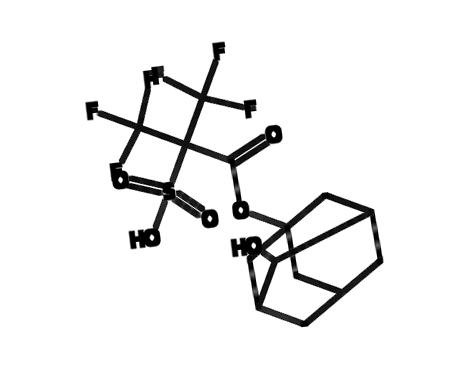 O=C(OC12CC3CC(C1)C(O)C(C3)C2)C(C(F)(F)F)(C(F)(F)F)S(=O)(=O)O